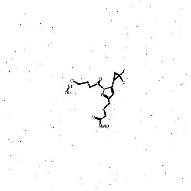 CCO.CNC(=O)CCCc1cc(C2CC2(F)F)n(C(=O)CCCCl)n1